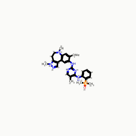 COc1cc2c(cc1Nc1ncc(C)c(Nc3ccccc3P(C)(C)=O)n1)-c1cnn(C)c1CCN2C#N